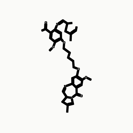 C/C=C(/C)CC(C)/C=N\c1cc(OCCCCCOc2cc3c(cc2OC)C(=O)N2C=C(C)CC2C=N3)c(OC)cc1C(C)=O